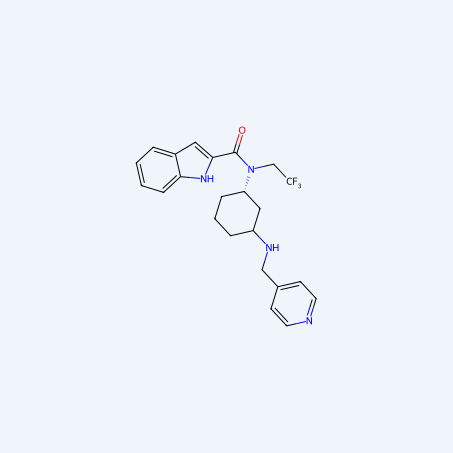 O=C(c1cc2ccccc2[nH]1)N(CC(F)(F)F)[C@H]1CCCC(NCc2ccncc2)C1